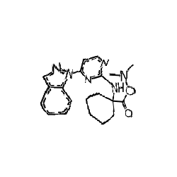 CN(C)OC(=O)C1(Nc2nccc(-n3ncc4ccccc43)n2)CCCCC1